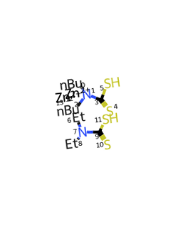 CCCCN(CCCC)C(=S)S.CCN(CC)C(=S)S.[Zn+2].[Zn+2]